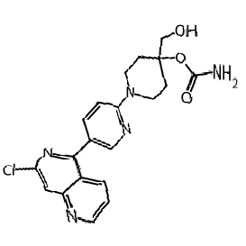 NC(=O)OC1(CO)CCN(c2ccc(-c3nc(Cl)cc4ncccc34)cn2)CC1